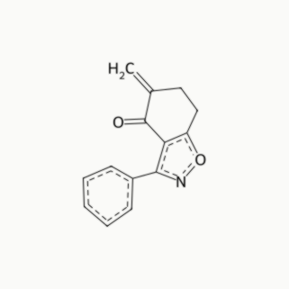 C=C1CCc2onc(-c3ccccc3)c2C1=O